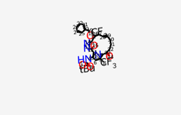 CC(C)(C)OC(=O)Nc1cc(C(F)(F)F)c2nc1-c1nnc(o1)C(OCc1ccccc1)(C(F)(F)F)C/C=C/CCCC2=O